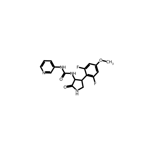 COc1cc(F)c(C2CNC(=O)C2NC(=O)Nc2cccnc2)c(F)c1